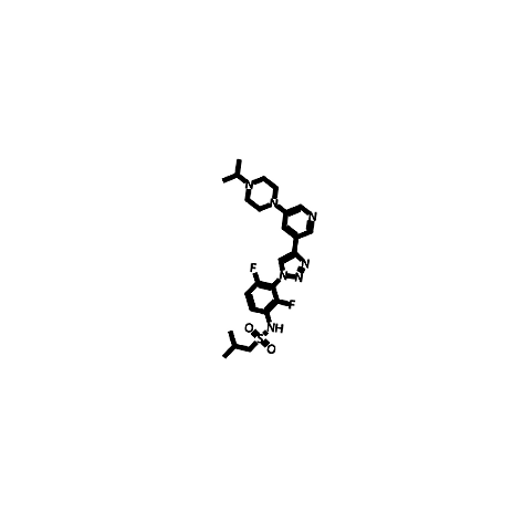 CC(C)CS(=O)(=O)Nc1ccc(F)c(-n2cc(-c3cncc(N4CCN(C(C)C)CC4)c3)nn2)c1F